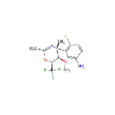 CO[C@H]1[C@@H](C(F)(F)F)OC(C)=N[C@]1(C)c1cc(N)ccc1F